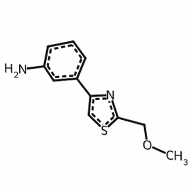 COCc1nc(-c2cccc(N)c2)cs1